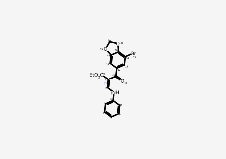 CCOC(=O)/C(=C/Nc1ccccc1)C(=O)c1cc(Br)c2c(c1)OCO2